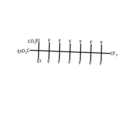 CCOC(=O)C(CC)(C(=O)OCC)C(F)(F)C(F)(F)C(F)(F)C(F)(F)C(F)(F)C(F)(F)C(F)(F)F